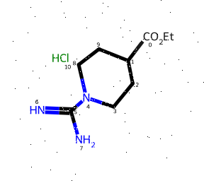 CCOC(=O)C1CCN(C(=N)N)CC1.Cl